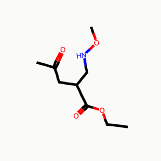 CCOC(=O)C(CNOC)CC(C)=O